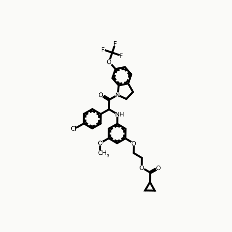 COc1cc(NC(C(=O)N2CCc3ccc(OC(F)(F)F)cc32)c2ccc(Cl)cc2)cc(OCCOC(=O)C2CC2)c1